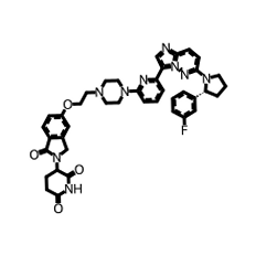 O=C1CCC(N2Cc3cc(OCCN4CCN(c5cccc(-c6cnc7ccc(N8CCC[C@@H]8c8cccc(F)c8)nn67)n5)CC4)ccc3C2=O)C(=O)N1